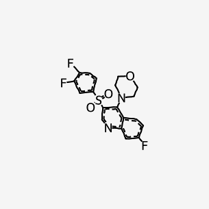 O=S(=O)(c1ccc(F)c(F)c1)c1cnc2cc(F)ccc2c1N1CCOCC1